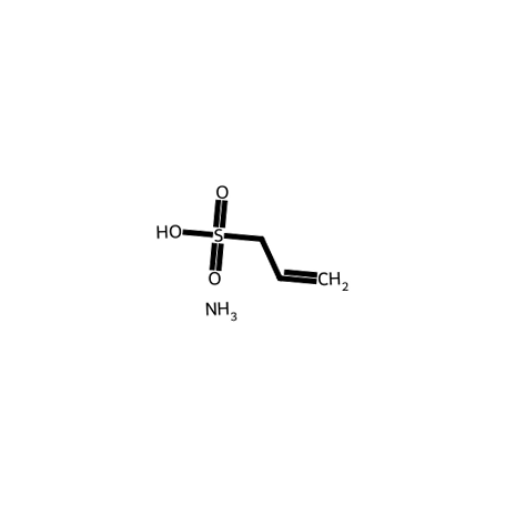 C=CCS(=O)(=O)O.N